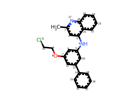 Cc1cc(Nc2cc(OCCCl)cc(-c3ccccc3)c2)c2ccccc2n1